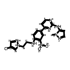 Cn1nccc1Nc1nccc(-c2ccc(NCCn3cc(Cl)cn3)c([N+](=O)[O-])c2)n1